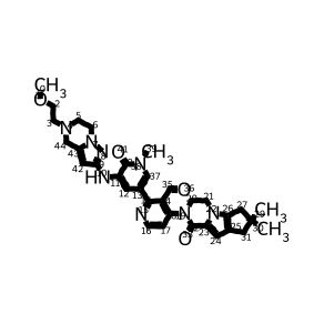 COCCN1CCn2nc(Nc3cc(-c4nccc(N5CCn6c(cc7c6CC(C)(C)C7)C5=O)c4C=O)cn(C)c3=O)cc2C1